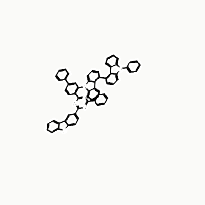 c1ccc(-c2ccc(-c3nc(-c4ccccc4)nc(-c4ccc5oc6ccccc6c5c4)n3)c(-n3c4ccccc4c4c(-c5cccc6c5c5ccccc5n6-c5ccccc5)cccc43)c2)cc1